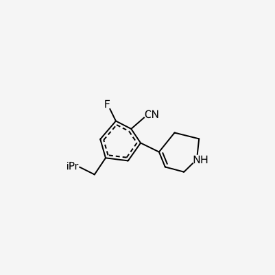 CC(C)Cc1cc(F)c(C#N)c(C2=CCNCC2)c1